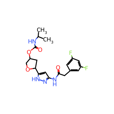 CC(C)NC(=O)OC1COC(c2cc(NC(=O)Cc3cc(F)cc(F)c3)n[nH]2)C1